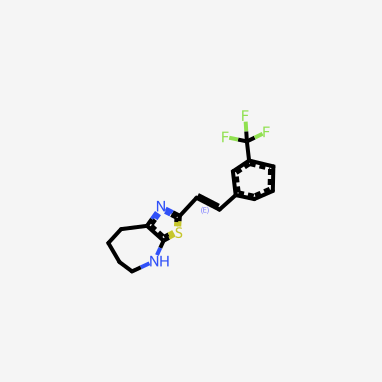 FC(F)(F)c1cccc(/C=C/c2nc3c(s2)NCCCC3)c1